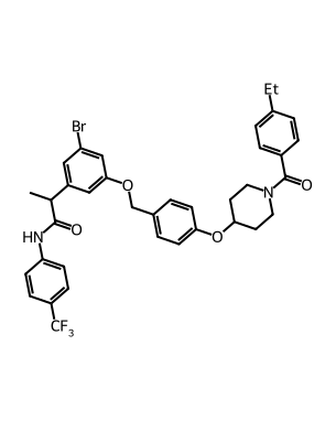 CCc1ccc(C(=O)N2CCC(Oc3ccc(COc4cc(Br)cc(C(C)C(=O)Nc5ccc(C(F)(F)F)cc5)c4)cc3)CC2)cc1